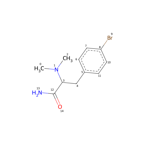 CN(C)C(Cc1ccc(Br)cc1)C(N)=O